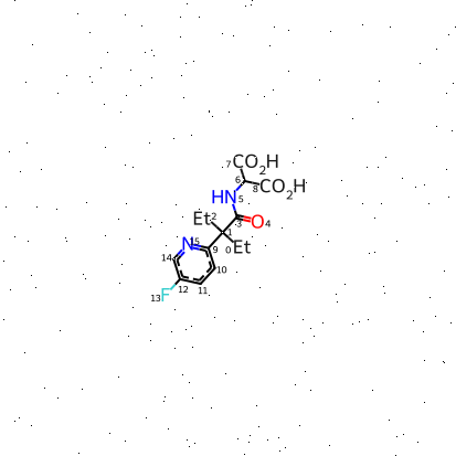 CCC(CC)(C(=O)NC(C(=O)O)C(=O)O)c1ccc(F)cn1